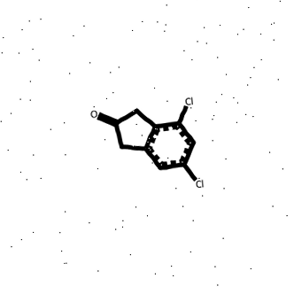 O=C1Cc2cc(Cl)cc(Cl)c2C1